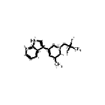 CC1C=C(c2c[nH]c3ncccc23)CN(CC(F)(F)C(F)(F)F)C1